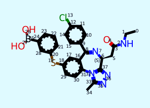 CCNC(=O)C[C@@H]1N=C(c2ccc(Cl)cc2)c2cc(Sc3cccc(B(O)O)c3)ccc2-n2c(C)nnc21